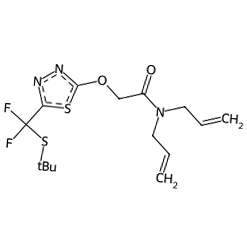 C=CCN(CC=C)C(=O)COc1nnc(C(F)(F)SC(C)(C)C)s1